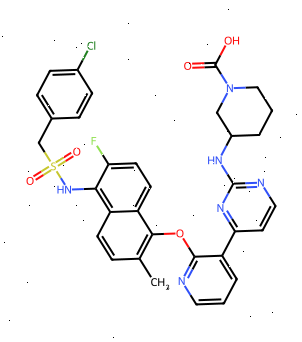 Cc1ccc2c(NS(=O)(=O)Cc3ccc(Cl)cc3)c(F)ccc2c1Oc1ncccc1-c1ccnc(NC2CCCN(C(=O)O)C2)n1